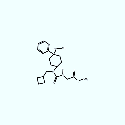 CNC(=O)CN1C[C@]2(CC[C@@](NC)(c3ccccc3)CC2)N(CC2CCC2)C1=O